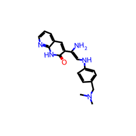 CN(C)Cc1ccc(N/C=C(\N)c2cc3cccnc3[nH]c2=O)cc1